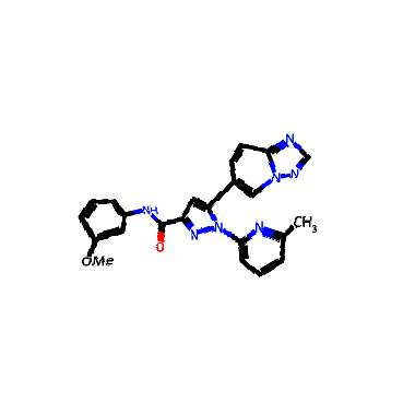 COc1cccc(NC(=O)c2cc(-c3ccc4ncnn4c3)n(-c3cccc(C)n3)n2)c1